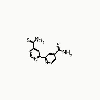 NC(=S)c1ccnc(-c2cc(C(N)=S)ccn2)c1